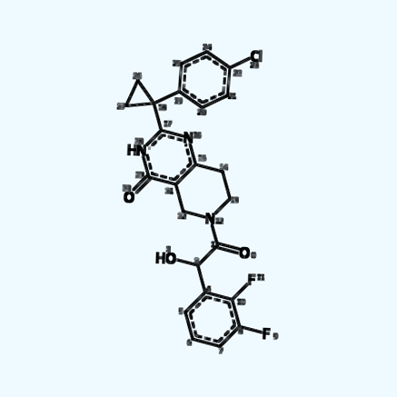 O=C(C(O)c1cccc(F)c1F)N1CCc2nc(C3(c4ccc(Cl)cc4)CC3)[nH]c(=O)c2C1